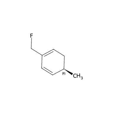 C[C@H]1C=CC(CF)=CC1